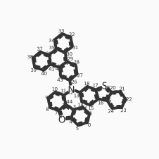 c1ccc2c(c1)oc1cccc(N(c3ccc4c(c3)sc3ccccc34)c3ccc4c5ccccc5c5ccccc5c4c3)c12